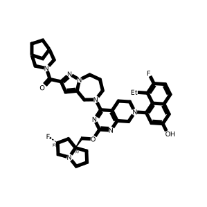 CCc1c(F)ccc2cc(O)cc(N3CCc4c(nc(OC[C@@]56CCCN5C[C@H](F)C6)nc4N4CCCn5nc(C(=O)N6CC7CCC(C7)C6)cc5C4)C3)c12